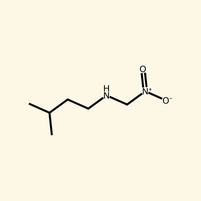 CC(C)CCNC[N+](=O)[O-]